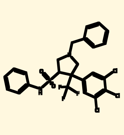 O=S(=O)(Nc1ccccc1)C1CN(Cc2ccccc2)CC1(c1cc(Cl)c(Cl)c(Cl)c1)C(F)(F)F